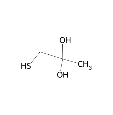 CC(O)(O)CS